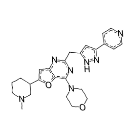 CN1CCCC(c2cc3nc(Cc4cc(-c5ccncc5)n[nH]4)nc(N4CCOCC4)c3o2)C1